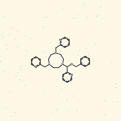 c1ccc(COC(c2ccccn2)N2CCN(Cc3ccccn3)CCN(Cc3ccccn3)CC2)cc1